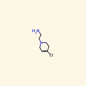 CCC1=CCN(CCN)CC1